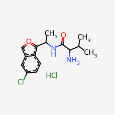 CC(NC(=O)C(N)C(C)C)c1occ2cc(Cl)ccc12.Cl